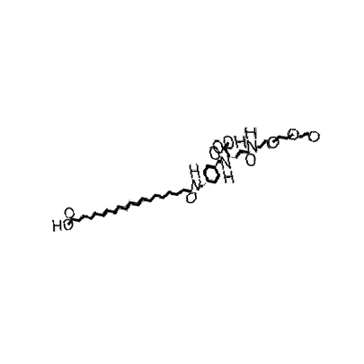 O=CCOCCOCCNC(=O)CC[C@H](NC(=O)[C@H]1CC[C@H](CNC(=O)CCCCCCCCCCCCCCCCCCC(=O)O)CC1)C(=O)O